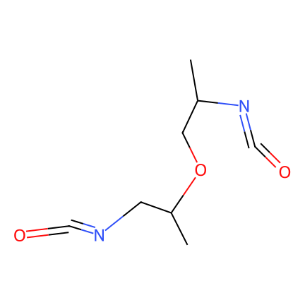 CC(COC(C)CN=C=O)N=C=O